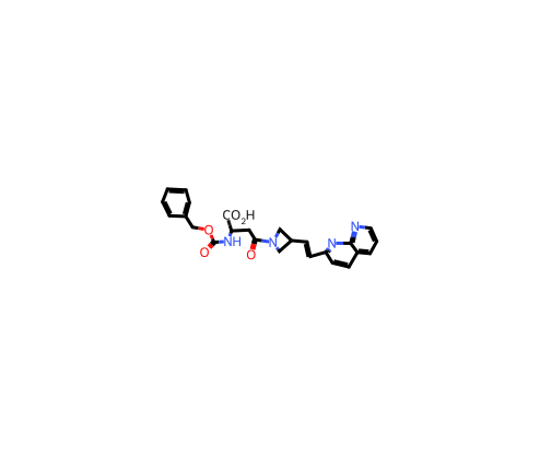 O=C(NC(CC(=O)N1CC(C=Cc2ccc3cccnc3n2)C1)C(=O)O)OCc1ccccc1